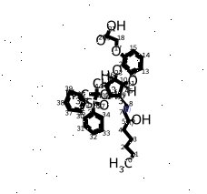 CCCCC[C@@H](O)/C=C/[C@@H]1[C@H]2Oc3cccc(OCC(=O)O)c3O[C@H]2C[C@H]1O[Si](c1ccccc1)(c1ccccc1)C(C)(C)C